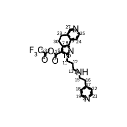 O=C(OC(=O)C(F)(F)F)c1c2c(nn1CCCNCCc1ccncc1)-c1ccncc1CC2